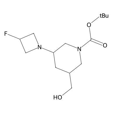 CC(C)(C)OC(=O)N1CC(CO)CC(N2CC(F)C2)C1